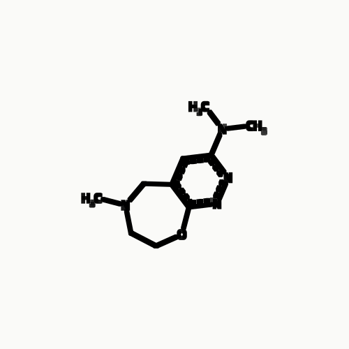 CN1CCOc2nnc(N(C)C)cc2C1